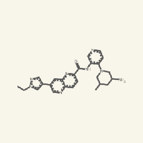 CCn1cc(-c2cnc3ccc(C(=O)Nc4cnccc4N4CC(C)CC(N)C4)nc3c2)cn1